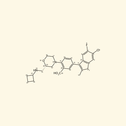 Cc1sc2cc(Cl)c(F)cc2c1-c1ccc(N2CCO[C@@H](CNC3CCC3)C2)c(C(=O)O)c1